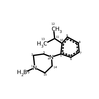 BN1CCN(c2ccccc2C(C)C)CC1